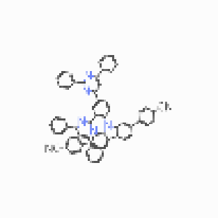 N#Cc1ccc(-c2ccc3c4ccc(-c5ccc(C#N)cc5)cc4n(-c4ccc(-c5cc(-c6ccccc6)nc(-c6ccccc6)n5)cc4-c4nc(-c5ccccc5)cc(-c5ccccc5)n4)c3c2)cc1